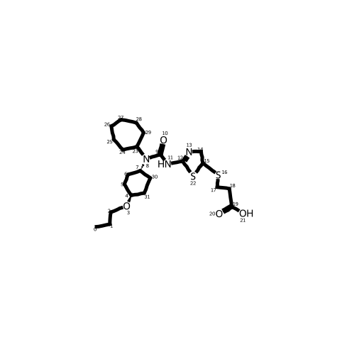 CCCO[C@H]1CC[C@H](N(C(=O)NC2=NCC(SCCC(=O)O)S2)C2CCCCCC2)CC1